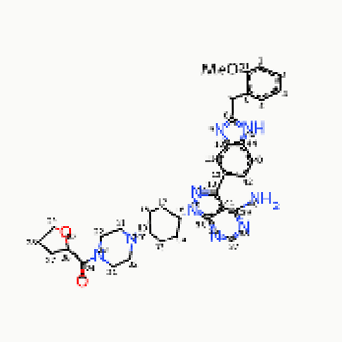 COc1ccccc1Cc1nc2cc(-c3nn([C@H]4CC[C@@H](N5CCN(C(=O)C6CCCO6)CC5)CC4)c4ncnc(N)c34)ccc2[nH]1